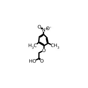 Cc1cc([N+](=O)[O-])cc(C)c1OCC(=O)O